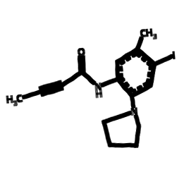 CC#CC(=O)Nc1cc(C)c(I)cc1N1CCCC1